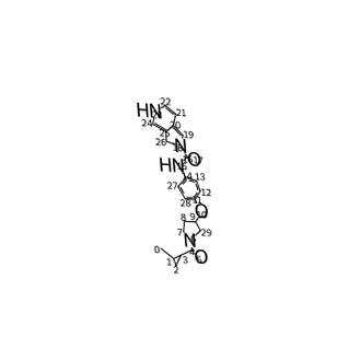 CC1CC1C(=O)N1CCC(Oc2ccc(NC(=O)N3C=C4C=CNC=C4C3)cc2)C1